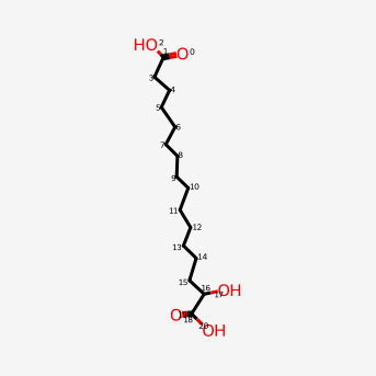 O=C(O)CCCCCCCCCCCCCC(O)C(=O)O